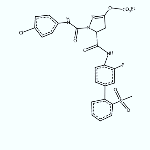 CCOC(=O)OC1=NN(C(=O)Nc2ccc(Cl)cc2)C(C(=O)Nc2ccc(-c3ccccc3S(C)(=O)=O)cc2F)C1